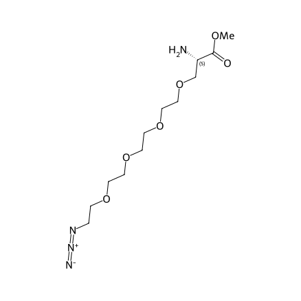 COC(=O)[C@@H](N)COCCOCCOCCOCCN=[N+]=[N-]